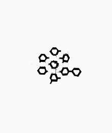 Cc1ccc(N(c2ccc(-c3ccccc3)cc2)c2cc3c4c(c2)N(c2ccccc2C(C)(C)C)c2c(cccc2C(C)(C)C)B4c2cccc(C(C)(C)C)c2N3c2ccccc2C(C)(C)C)c(C)c1